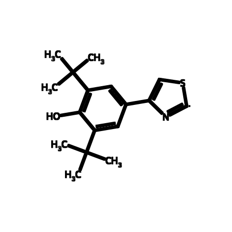 CC(C)(C)c1cc(-c2cs[c]n2)cc(C(C)(C)C)c1O